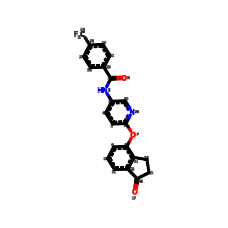 O=C(Nc1ccc(Oc2cccc3c2CCC3=O)nc1)c1ccc(C(F)(F)F)cc1